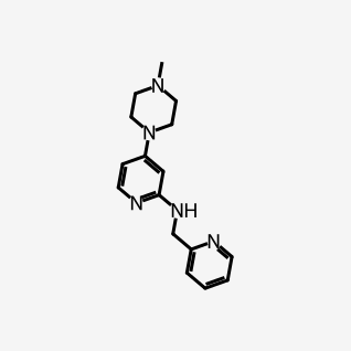 CN1CCN(c2ccnc(NCc3ccccn3)c2)CC1